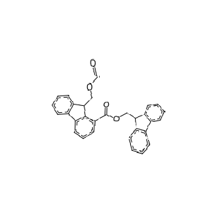 O=[C]OCC1c2ccccc2-c2cccc(C(=O)OCC3c4ccccc4-c4ccccc43)c21